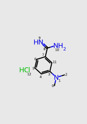 CN(C)c1cccc(C(=N)N)c1.Cl